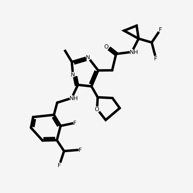 Cc1nc(CC(=O)NC2(C(F)F)CC2)c(C2CCCO2)c(NCc2cccc(C(F)F)c2F)n1